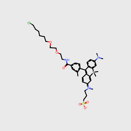 Cc1cc(C(=O)NCCOCCOCCCCCCCl)ccc1C1=C2C=C/C(=[N+](/C)CCCS(=O)(=O)[O-])C=C2[Si](C)(C)c2cc(N(C)C)ccc21